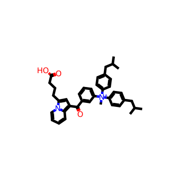 CC(C)Cc1ccc([N+](C)(c2ccc(CC(C)C)cc2)c2cccc(C(=O)c3cc(CCCC(=O)O)n4ccccc34)c2)cc1